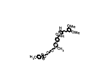 COc1cc(CCc2cc(NC(=O)c3ccc(N4CCN(CCOCCOCCOS(=O)(=O)c5ccc(C)cc5)[C@H](C)C4)cc3)n[nH]2)cc(OC)c1